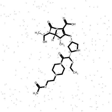 CCSC(C(=O)N1CCN(CCOC(N)=O)CC1)[C@@H]1C[C@H](SC2=C(C(=O)O)N3C(=O)[C@H]([C@@H](C)O)[C@H]3[C@H]2C)CN1